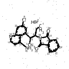 Br.CCC(C(C)c1cc(Cl)cc2nccc(N)c12)N1C(=O)c2ccccc2C1=O